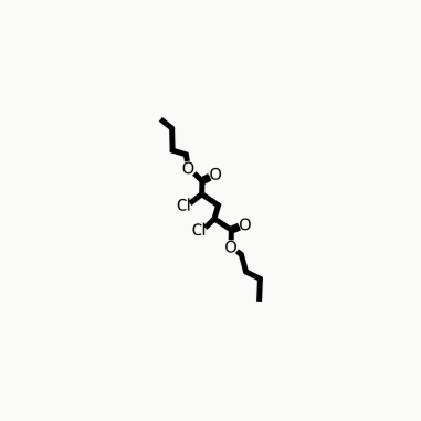 CCCCOC(=O)C(Cl)CC(Cl)C(=O)OCCCC